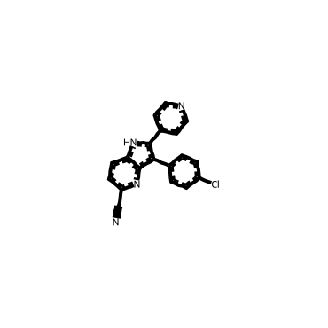 N#Cc1ccc2[nH]c(-c3ccncc3)c(-c3ccc(Cl)cc3)c2n1